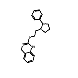 c1ccc(C2CCCN2CCSC2=NCc3ccccc3N2)cc1